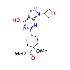 COC(=O)C1(OC)CCC(c2nc(O)c3cnn(C4COC4)c3n2)CC1